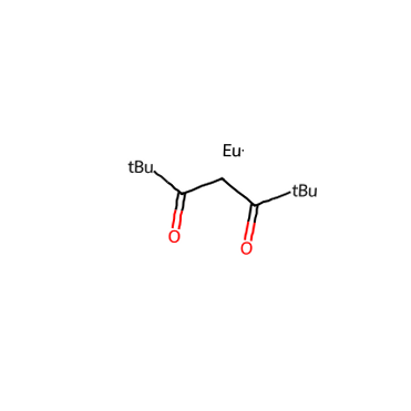 CC(C)(C)C(=O)CC(=O)C(C)(C)C.[Eu]